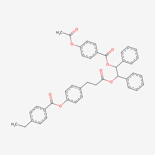 CCc1ccc(C(=O)Oc2ccc(CCC(=O)OC(c3ccccc3)C(OC(=O)c3ccc(OC(C)=O)cc3)c3ccccc3)cc2)cc1